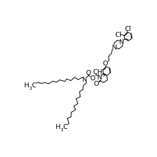 CCCCCCCCCCCCCCN(CCCCCCCCCCCCCC)C(=O)OC(C)N1C(=O)CCc2ccc(OCCCCN3CCN(c4cccc(Cl)c4Cl)CC3)cc21